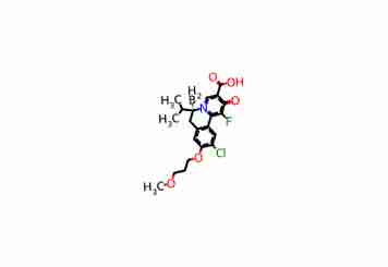 B[C@@]1(C(C)C)Cc2cc(OCCCOC)c(Cl)cc2-c2c(F)c(=O)c(C(=O)O)cn21